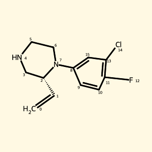 C=C[C@@H]1CNCCN1c1ccc(F)c(Cl)c1